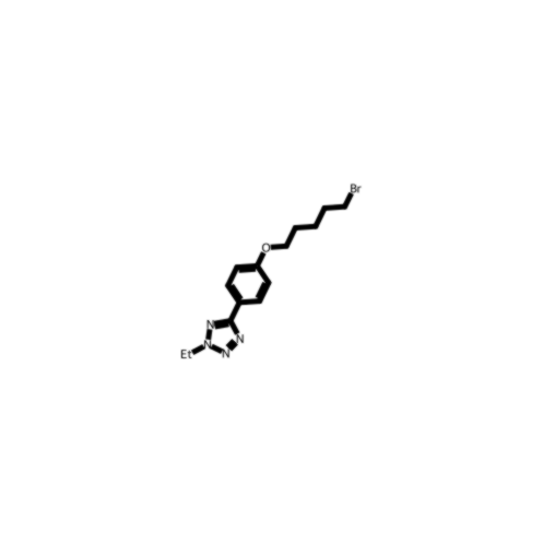 CCn1nnc(-c2ccc(OCCCCCBr)cc2)n1